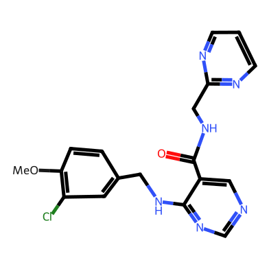 COc1ccc(CNc2ncncc2C(=O)NCc2ncccn2)cc1Cl